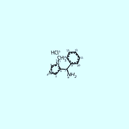 Cl.Cn1cncc1C(N)c1ccccc1